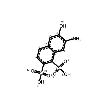 Nc1cc2c(S(=O)(=O)O)c(S(=O)(=O)O)ccc2cc1O